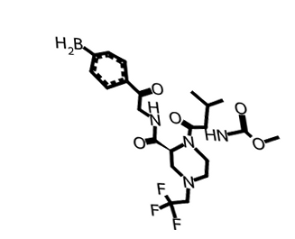 Bc1ccc(C(=O)CNC(=O)[C@@H]2CN(CC(F)(F)F)CCN2C(=O)[C@@H](NC(=O)OC)C(C)C)cc1